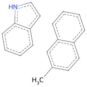 Cc1ccc2ccccc2c1.c1ccc2[nH]ccc2c1